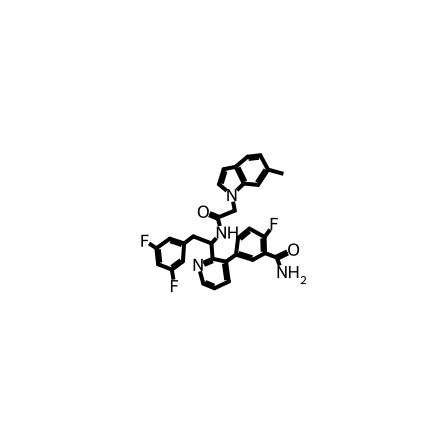 Cc1ccc2ccn(CC(=O)NC(Cc3cc(F)cc(F)c3)c3ncccc3-c3ccc(F)c(C(N)=O)c3)c2c1